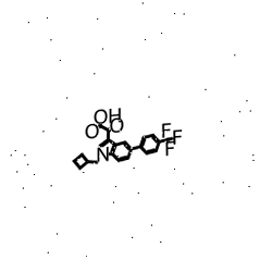 O=C(O)C(=O)c1cn(CC2CCC2)c2ccc(-c3ccc(C(F)(F)F)cc3)cc12